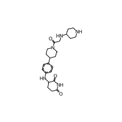 O=C1CCC(Nc2ccc(C3CCN(C(=O)CNC4CCNCC4)CC3)cc2)C(=O)N1